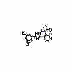 NC(=O)/C(=C/n1cnc(-c2cc(S)cc(C(F)(F)F)c2)n1)c1cncnc1